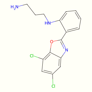 NCCCNc1ccccc1-c1nc2cc(Cl)cc(Cl)c2o1